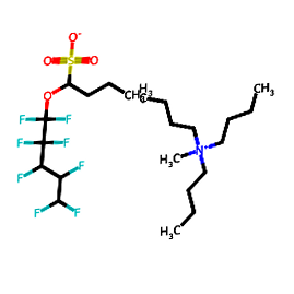 CCCC(OC(F)(F)C(F)(F)C(F)C(F)C(F)F)S(=O)(=O)[O-].CCCC[N+](C)(CCCC)CCCC